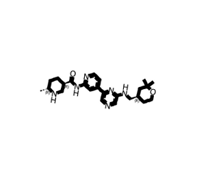 C[C@@H]1CC[C@@H](C(=O)Nc2cc(-c3cncc(NC[C@@H]4CCOC(C)(C)C4)n3)ccn2)CN1